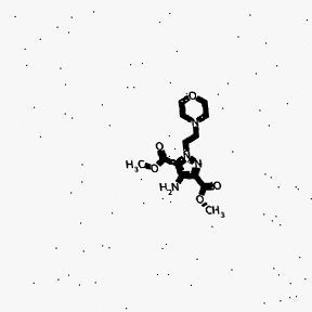 COC(=O)c1nn(CCN2CCOCC2)c(C(=O)OC)c1N